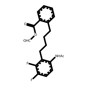 CC(=O)Nc1ccc(F)c(F)c1CCCCc1ccccc1C(=O)O[C]=O